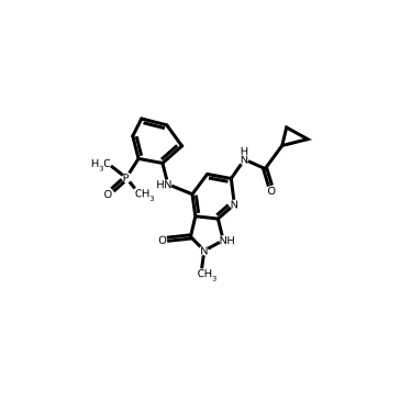 Cn1[nH]c2nc(NC(=O)C3CC3)cc(Nc3ccccc3P(C)(C)=O)c2c1=O